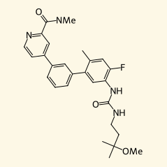 CNC(=O)c1cc(-c2cccc(-c3cc(NC(=O)NCCC(C)(C)OC)c(F)cc3C)c2)ccn1